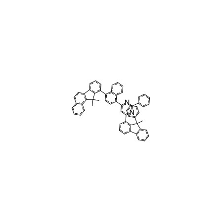 CC1(C)c2c(cccc2-c2ccc(-c3cc(-c4cccc5c4C(C)(c4ccccc4)c4ccccc4-5)nc(-c4ccccc4)n3)c3ccccc23)-c2ccc3ccccc3c21